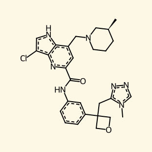 C[C@H]1CCCN(Cc2cc(C(=O)Nc3cccc(C4(Cc5nncn5C)COC4)c3)nc3c(Cl)c[nH]c23)C1